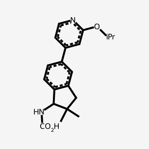 CC(C)Oc1cc(-c2ccc3c(c2)CC(C)(C)C3NC(=O)O)ccn1